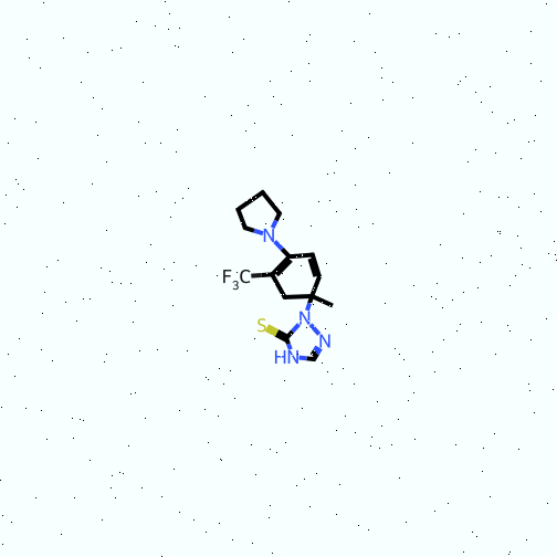 CC1(n2nc[nH]c2=S)C=CC(N2CCCC2)=C(C(F)(F)F)C1